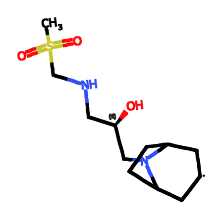 CS(=O)(=O)CNC[C@@H](O)CN1C2C[CH]CC1CC2